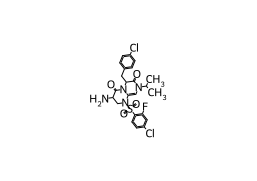 CC(C)N1C=C2N(C(=O)C(N)CN2S(=O)(=O)c2ccc(Cl)cc2F)C(Cc2ccc(Cl)cc2)C1=O